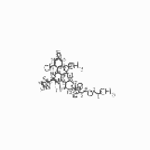 CCCOCCS(=O)(=O)N1CCC(C2=C(C(=O)OC)C(c3ccc(F)cc3Cl)N=C(c3nccs3)N2)CC1